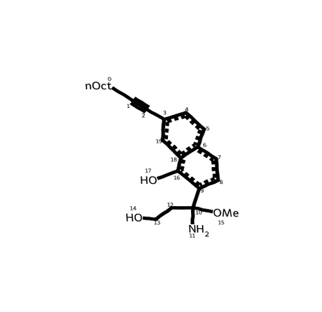 CCCCCCCCC#Cc1ccc2ccc(C(N)(CCO)OC)c(O)c2c1